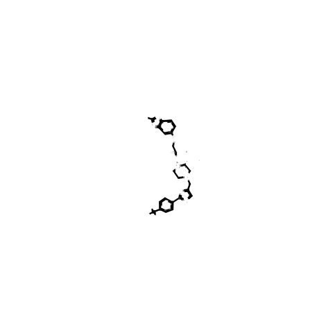 Cc1nc2cc(OC[C@H](O)CN3CCN(Cc4cnc(-c5ccc(C(F)(F)F)cc5)o4)C[C@@H]3C)ccc2s1